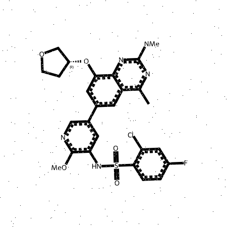 CNc1nc(C)c2cc(-c3cnc(OC)c(NS(=O)(=O)c4ccc(F)cc4Cl)c3)cc(O[C@@H]3CCOC3)c2n1